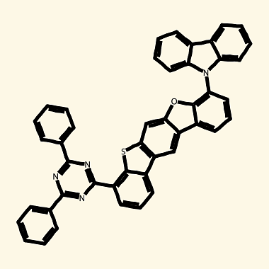 c1ccc(-c2nc(-c3ccccc3)nc(-c3cccc4c3sc3cc5oc6c(-n7c8ccccc8c8ccccc87)cccc6c5cc34)n2)cc1